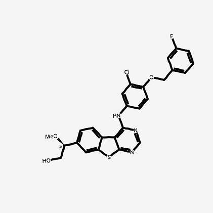 CO[C@H](CO)c1ccc2c(c1)sc1ncnc(Nc3ccc(OCc4cccc(F)c4)c(Cl)c3)c12